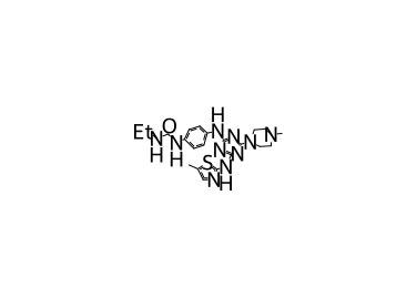 CCNC(=O)Nc1ccc(Nc2nc(Nc3ncc(C)s3)nc(N3CCN(C)CC3)n2)cc1